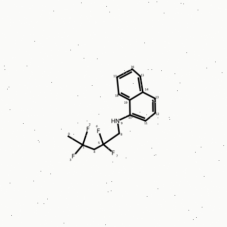 CC(F)(F)CC(F)(F)CNc1cccc2ccccc12